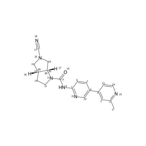 Cc1cc(-c2ccc(NC(=O)N3CC[C@@H]4CN(C#N)C[C@@H]43)nc2)ccn1